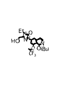 CCn1c(CO)nn(-c2cc(O[C@@H](C)C(F)(F)F)c3c(OCC(C)C)nccc3c2)c1=O